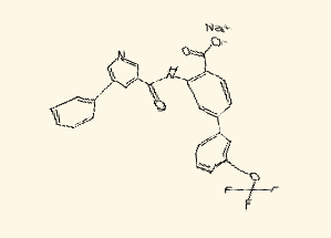 O=C(Nc1cc(-c2cccc(OC(F)(F)F)c2)ccc1C(=O)[O-])c1cncc(-c2ccccc2)c1.[Na+]